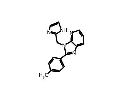 Cc1ccc(-c2nc3cccnc3n2Cc2ncc[nH]2)cc1